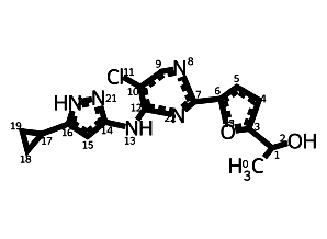 CC(O)c1ccc(-c2ncc(Cl)c(Nc3cc(C4CC4)[nH]n3)n2)o1